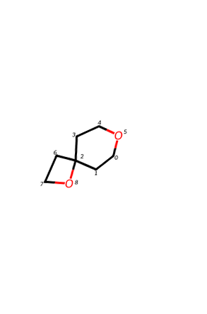 C1CC2(CCO1)CCO2